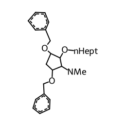 CCCCCCCOC1C(OCc2ccccc2)CC(OCc2ccccc2)C1NC